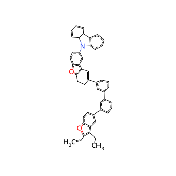 C=Cc1oc2ccc(-c3cccc(-c4cccc(C5=Cc6c(oc7ccc(N8c9ccccc9C9C=CC=CC98)cc67)CC5)c4)c3)cc2c1CC